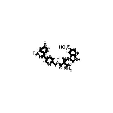 NC(=O)C1(C(=O)NCc2ccc(Nc3ccc(F)cc3C(F)(F)F)cn2)CC1N1CNc2ncc(C(=O)O)cc21